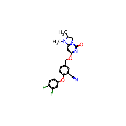 CC1Cn2c(cc(OCc3ccc(Oc4ccc(F)c(F)c4)c(C#N)c3)nc2=O)N1C